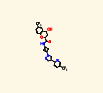 O=C(NC12CC(n3cc(-c4ccc(C(F)(F)F)cn4)cn3)(C1)C2)[C@@H]1C[C@@H](O)c2cc(C(F)(F)F)ccc2O1